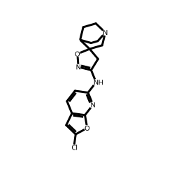 Clc1cc2ccc(NC3=NOC4(C3)CN3CCC4CC3)nc2o1